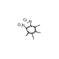 Cc1c(C)c(C)c([N+](=O)[O-])c([N+](=O)[O-])c1C